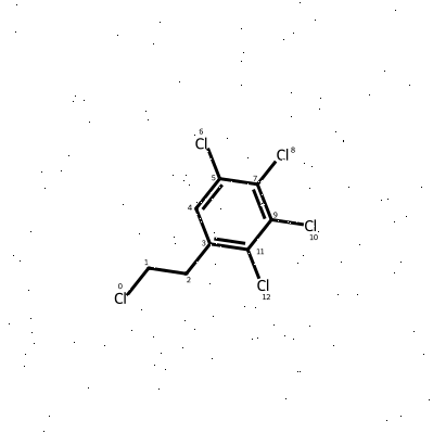 ClCCc1cc(Cl)c(Cl)c(Cl)c1Cl